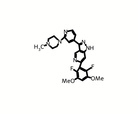 COc1cc(OC)c(F)c(-c2cc3[nH]nc(-c4ccnc(N5CCN(C)CC5)c4)c3cn2)c1F